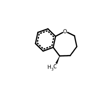 C[C@@H]1CCCOc2ccccc21